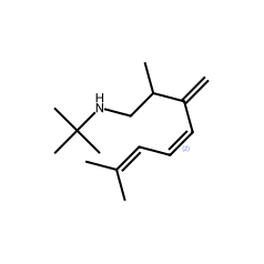 C=C(/C=C\C=C(C)C)C(C)CNC(C)(C)C